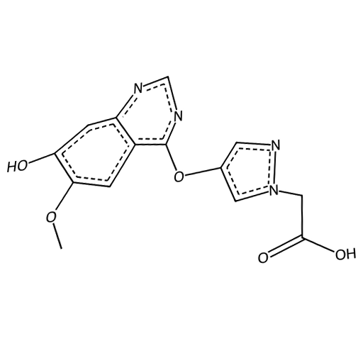 COc1cc2c(Oc3cnn(CC(=O)O)c3)ncnc2cc1O